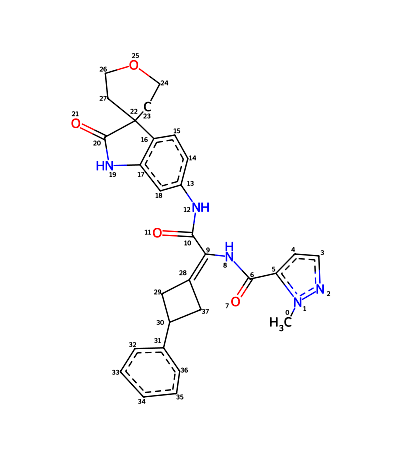 Cn1nccc1C(=O)NC(C(=O)Nc1ccc2c(c1)NC(=O)C21CCOCC1)=C1CC(c2ccccc2)C1